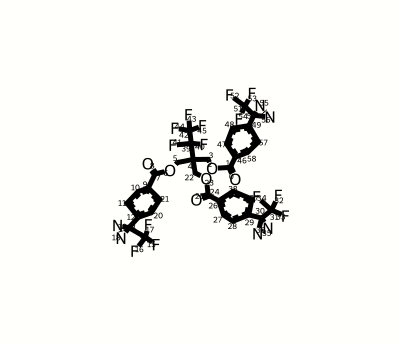 O=C(OCC(COC(=O)c1ccc(C2(C(F)(F)F)N=N2)cc1)(COC(=O)c1ccc(C2(C(F)(F)F)N=N2)cc1)C(F)(F)C(F)(F)F)c1ccc(C2(C(F)(F)F)N=N2)cc1